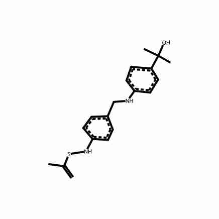 C=C(C)SNc1ccc(CNc2ccc(C(C)(C)O)cc2)cc1